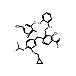 O=C([O-])c1ccc([C@@H](Cc2c(Cl)c[n+](O)cc2Cl)c2ccc(OC(F)F)c(OCC3CC3)c2)c(CNc2ccccc2O)c1O